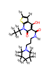 [2H]c1sc2c(c1[2H])c(O)c(C(=O)N([2H])CCCN1C([2H])([2H])C([2H])([2H])C([2H])([2H])C([2H])(C)C1([2H])[2H])c(=O)n2C([2H])(C)C([2H])([2H])[2H]